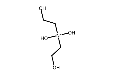 OCC[N+](O)(O)CCO